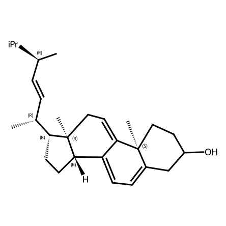 CC(C)[C@@H](C)C=C[C@@H](C)[C@H]1CC[C@H]2C3=CC=C4CC(O)CC[C@]4(C)C3=CC[C@]12C